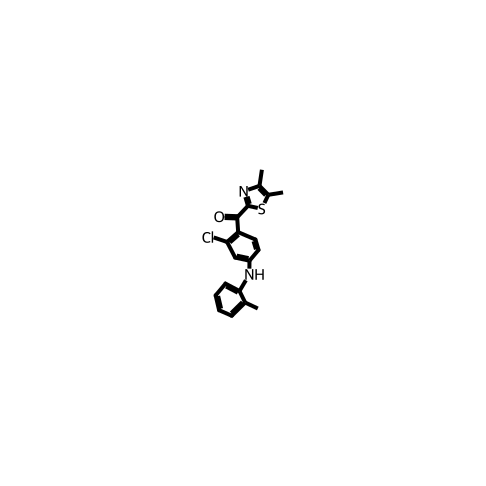 Cc1ccccc1Nc1ccc(C(=O)c2nc(C)c(C)s2)c(Cl)c1